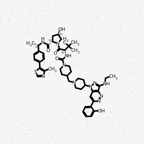 CCNc1nn(C2CCN(CC3CCN(C(=O)N[C@H](C(=O)N4C[C@H](O)C[C@H]4C(=O)N[C@@H](C)c4ccc(-c5scnc5C)cc4)C(C)(C)C)CC3)CC2)c2cc(-c3ccccc3O)nnc12